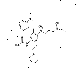 CC(=O)Nc1cc(Nc2ccccc2C)c(N(C)CCCN(C)C)cc1CCC1CCCCC1